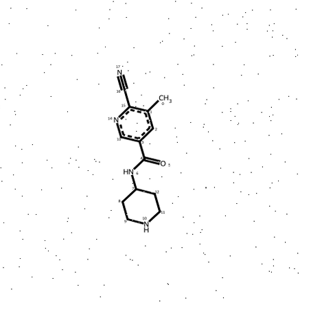 Cc1cc(C(=O)NC2CCNCC2)cnc1C#N